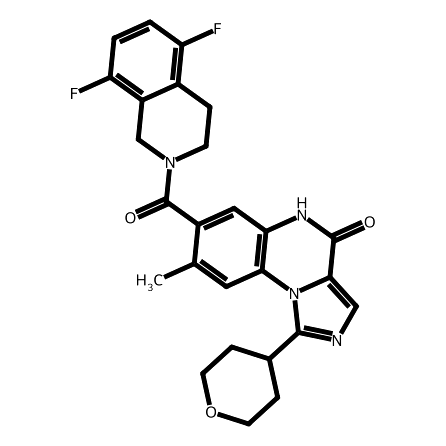 Cc1cc2c(cc1C(=O)N1CCc3c(F)ccc(F)c3C1)[nH]c(=O)c1cnc(C3CCOCC3)n12